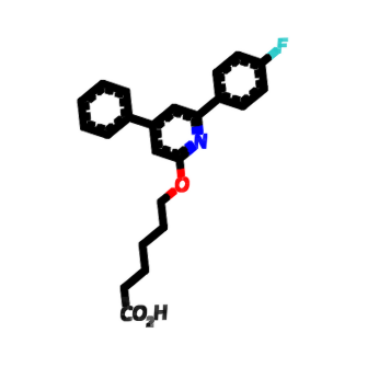 O=C(O)CCCCCOc1cc(-c2ccccc2)cc(-c2ccc(F)cc2)n1